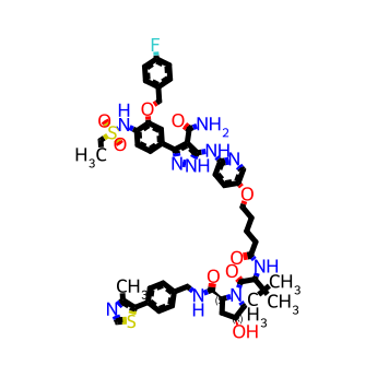 CCS(=O)(=O)Nc1ccc(-c2n[nH]c(Nc3ccc(OCCCCC(=O)NC(C(=O)N4C[C@H](O)C[C@H]4C(=O)NCc4ccc(-c5scnc5C)cc4)C(C)(C)C)cn3)c2C(N)=O)cc1OCc1ccc(F)cc1